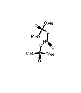 COP(=O)(OC)O[PH](=O)OP(=O)(OC)OC